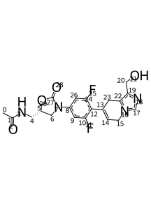 CC(=O)NC[C@H]1CN(c2cc(F)c(C3=CCn4cnc(CO)c4C3)c(F)c2)C(=O)O1